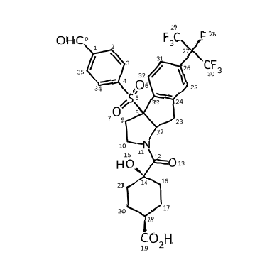 O=Cc1ccc(S(=O)(=O)C23CCN(C(=O)[C@]4(O)CC[C@@H](C(=O)O)CC4)C2Cc2cc(C(F)(C(F)(F)F)C(F)(F)F)ccc23)cc1